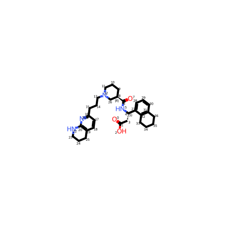 O=C(O)C[C@H](NC(=O)[C@@H]1CCCN(CCCc2ccc3c(n2)NCCC3)C1)c1cccc2c1CCCC2